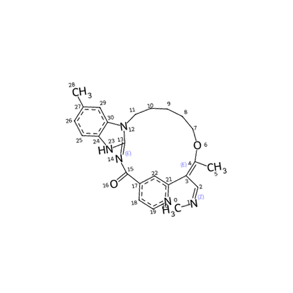 C/N=C\C1=C(/C)OCCCCCN2/C(=N/C(=O)c3ccnc1c3)Nc1ccc(C)cc12